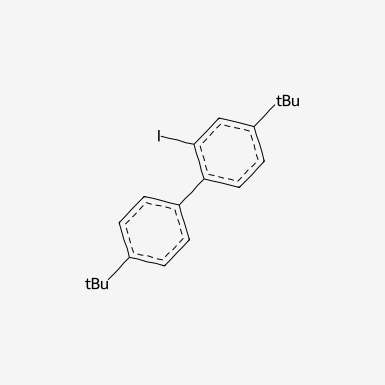 CC(C)(C)c1ccc(-c2ccc(C(C)(C)C)cc2I)cc1